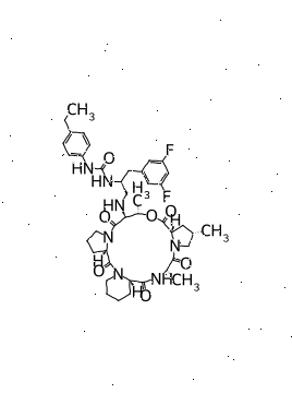 CCc1ccc(NC(=O)N[C@H](CN[C@@H]2C(=O)N3CCC[C@H]3C(=O)N3CCCC[C@H]3C(=O)N[C@@H](C)C(=O)N3C[C@@H](C)C[C@H]3C(=O)O[C@H]2C)Cc2cc(F)cc(F)c2)cc1